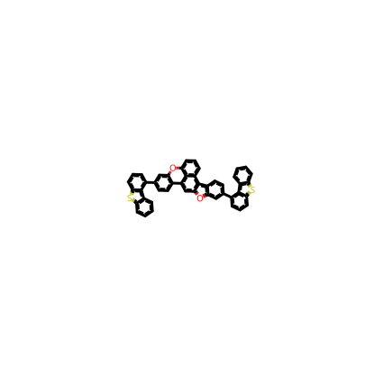 c1ccc2c(c1)sc1cccc(-c3ccc4c(c3)Oc3cccc5c3c-4cc3oc4cc(-c6cccc7sc8ccccc8c67)ccc4c35)c12